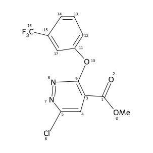 COC(=O)c1cc(Cl)nnc1Oc1cccc(C(F)(F)F)c1